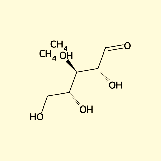 C.C.O=C[C@H](O)[C@H](O)[C@H](O)CO